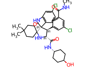 CNC(=O)c1cc(Cl)cc([C@H]2[C@H](C(=O)N[C@H]3CC[C@H](O)CC3)NC3(CCC(C)(C)CC3)[C@@]23C(=O)Nc2cc(Cl)ccc23)c1